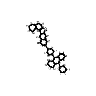 c1ccc(-c2c3ccccc3c(-c3ccc(-c4ccc5cc6c(cc5c4)oc4ccc5ccccc5c46)cc3)c3ccccc23)cc1